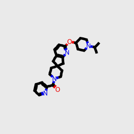 CC(C)N1CCC(Oc2ccc3c(n2)CC2(CCN(C(=O)c4ccccn4)CC2)C3)CC1